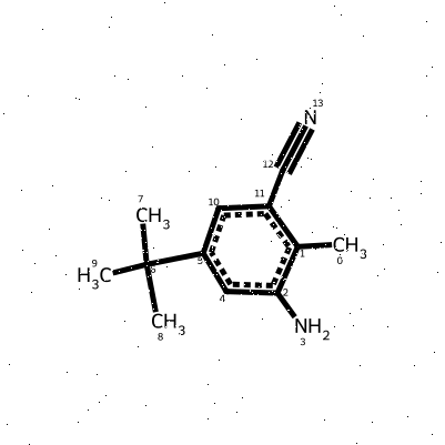 Cc1c(N)cc(C(C)(C)C)cc1C#N